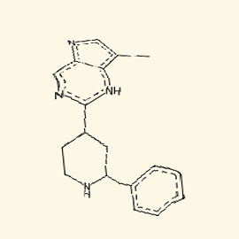 Cc1cnc2cnc(C3CCNC(c4ccccc4)C3)[nH]c1-2